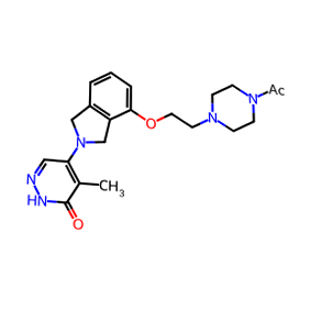 CC(=O)N1CCN(CCOc2cccc3c2CN(c2cn[nH]c(=O)c2C)C3)CC1